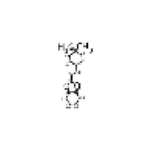 CC1(C)CCC(=CCC2OC3CCCCC3O2)CC1